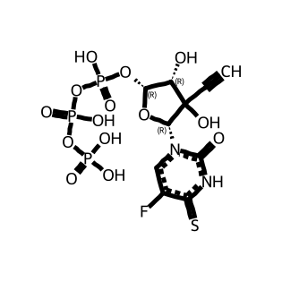 C#CC1(O)[C@@H](O)[C@@H](OP(=O)(O)OP(=O)(O)OP(=O)(O)O)O[C@H]1n1cc(F)c(=S)[nH]c1=O